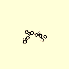 c1ccc2c(c1)-c1cc3oc4cc(-c5ccc6c7ccccc7n(-c7ccc8c(c7)oc7ccccc78)c6c5)ccc4c3cc1C21CCCCC1